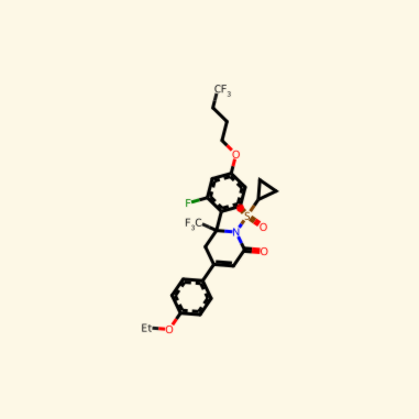 CCOc1ccc(C2=CC(=O)N(S(=O)(=O)C3CC3)C(c3ccc(OCCCC(F)(F)F)cc3F)(C(F)(F)F)C2)cc1